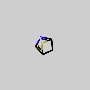 [CH]1c2cnc1s2